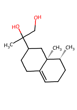 C[C@@H]1CCC=C2CCC(C(C)(O)CO)C[C@]21C